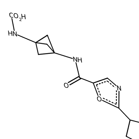 O=C(O)NC12CC(NC(=O)c3cnc(C4CCC4)o3)(C1)C2